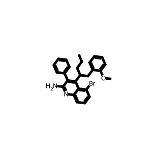 CCCC(Cc1ccccc1OC)c1c(-c2ccccc2)c(N)nc2cccc(Br)c12